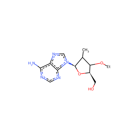 CCOC1C(C)[C@H](n2cnc3c(N)ncnc32)O[C@@H]1CO